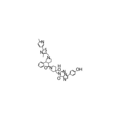 Cc1ccc(-c2nc(C)c(CN3CCC(C(=O)N4CCC(O)(Cn5cnn6c(-c7ccc(O)cc7)cnc6c5=O)CC4)C(c4ccccc4)C3)s2)cn1